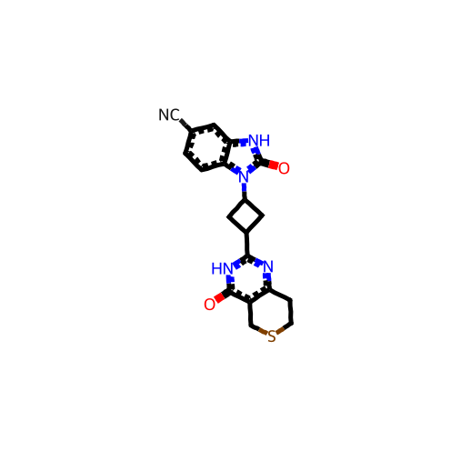 N#Cc1ccc2c(c1)[nH]c(=O)n2C1CC(c2nc3c(c(=O)[nH]2)CSCC3)C1